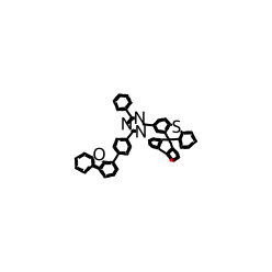 c1ccc(-c2nc(-c3ccc(-c4cccc5c4oc4ccccc45)cc3)nc(-c3ccc4c(c3)C3(c5ccccc5S4)c4ccccc4-c4ccccc43)n2)cc1